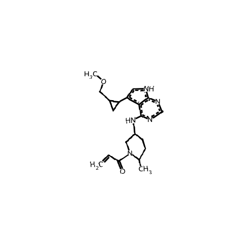 C=CC(=O)N1CC(Nc2ncnc3[nH]cc(C4CC4COC)c23)CCC1C